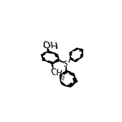 Cc1ccc(O)cc1[S+](c1ccccc1)c1ccccc1